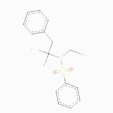 [CH2]CC(O)(Cc1ccccc1)N(CC(C)C)S(=O)(=O)c1ccccc1